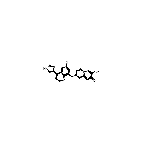 O=c1cc2n(cc1O)CCN(Cc1cc(Cl)cc3c1OCCC3c1c[nH]cn1)C2